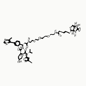 Cc1cc([C@H](C(=O)N2C[C@H](O)C[C@H]2C(=O)N[C@@H](CC(=O)NCCOCCOCCOCCNC(=O)CCCC[C@@H]2SC[C@@H]3NC(=O)N[C@@H]32)c2ccc(-c3scnc3C)cc2)C(C)C)on1